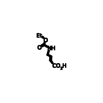 CCOC(=O)NCC=CC(=O)O